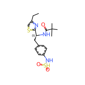 CCc1csc([C@H](Cc2ccc(N[SH](=O)=O)cc2)NC(=O)C(C)(C)C)n1